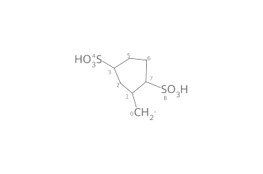 [CH2]C1CC(S(=O)(=O)O)CCC1S(=O)(=O)O